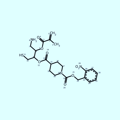 C=C(C)C(=O)OC(CN)C(CS)OC(=O)C1CCN(C(=O)OCc2ccccc2[N+](=O)[O-])CC1